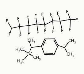 CC(C)c1ccc(C(C)[N+](C)(C)C)cc1.FC(F)C(F)(F)C(F)(F)C(F)(F)C(F)(F)C(F)(F)C(F)(F)C(F)(F)F